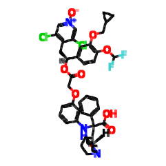 O=C(COc1cccc(NC(C(=O)O)(c2ccccc2)[C@H]2CN3CCC2CC3)c1)O[C@@H](Cc1c(Cl)c[n+]([O-])cc1Cl)c1ccc(OC(F)F)c(OCC2CC2)c1